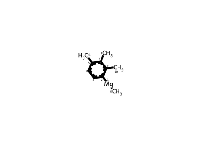 [CH3][Mg][c]1ccc(C)c(C)c1C